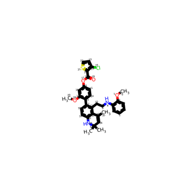 COc1ccccc1NCCc1c(-c2ccc(OC(=O)c3sccc3Cl)cc2OC)ccc2c1C(C)=CC(C)(C)N2